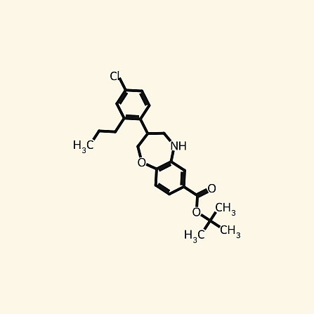 CCCc1cc(Cl)ccc1C1CNc2cc(C(=O)OC(C)(C)C)ccc2OC1